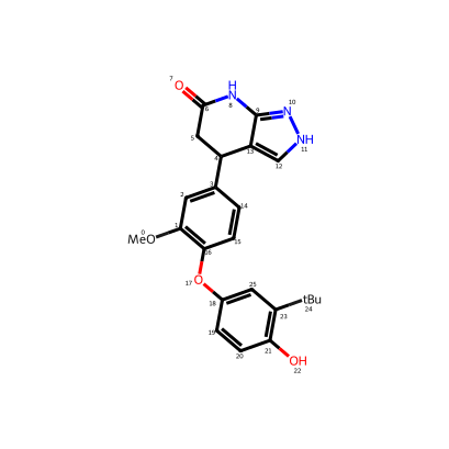 COc1cc(C2CC(=O)Nc3n[nH]cc32)ccc1Oc1ccc(O)c(C(C)(C)C)c1